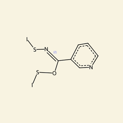 IS/N=C(\OSI)c1cccnc1